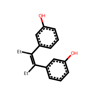 CCC(=C(CC)c1cccc(O)c1)c1cccc(O)c1